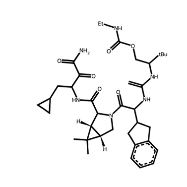 C=C(NC(C(=O)N1C[C@H]2[C@@H](C1C(=O)NC(CC1CC1)C(=O)C(N)=O)C2(C)C)C1Cc2ccccc2C1)NC(COC(=O)NCC)C(C)(C)C